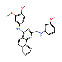 COc1cccc(NCc2cc(Nc3ccc(OC)c(OC)c3)c3ccc4ccccc4c3n2)c1